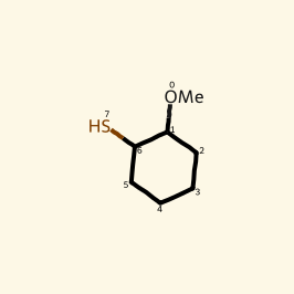 COC1CCCCC1S